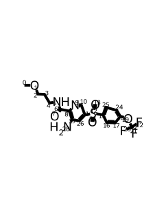 COCCCNC(=O)c1ncc(S(=O)(=O)c2ccc(OC(F)(F)F)cc2)cc1N